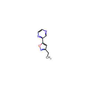 CCc1cc(-c2cnccn2)on1